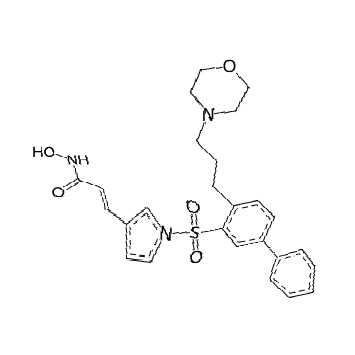 O=C(C=Cc1ccn(S(=O)(=O)c2cc(-c3ccccc3)ccc2CCCN2CCOCC2)c1)NO